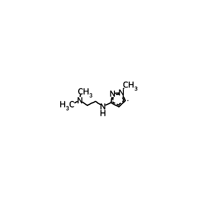 CN(C)CCNc1c[c]n(C)n1